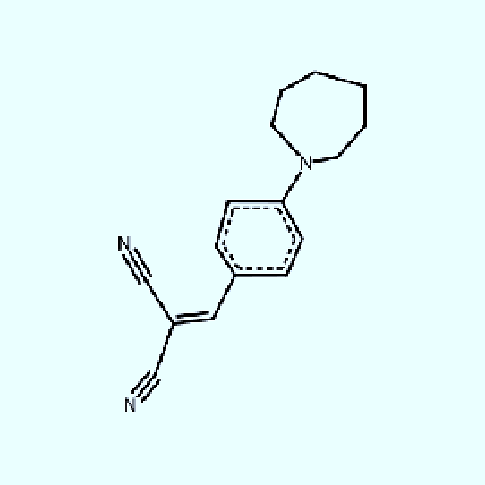 N#CC(C#N)=Cc1ccc(N2CCCCCC2)cc1